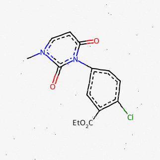 CCOC(=O)c1cc(-n2c(=O)ccn(C)c2=O)ccc1Cl